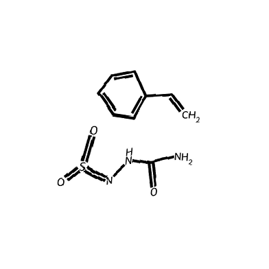 C=Cc1ccccc1.NC(=O)NN=S(=O)=O